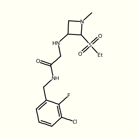 CCS(=O)(=O)C1C(NCC(=O)NCc2cccc(Cl)c2F)CN1C